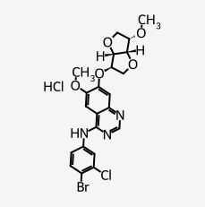 COc1cc2c(Nc3ccc(Br)c(Cl)c3)ncnc2cc1O[C@@H]1CO[C@@H]2[C@H]1OC[C@@H]2OC.Cl